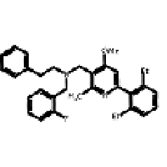 CCc1cccc(CC)c1-c1cc(OC)c(CN(CCc2ccccc2)Cc2ccccc2F)c(C)n1